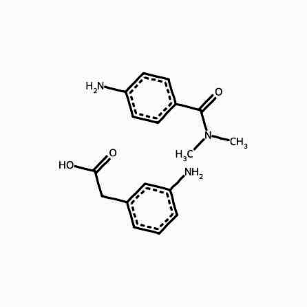 CN(C)C(=O)c1ccc(N)cc1.Nc1cccc(CC(=O)O)c1